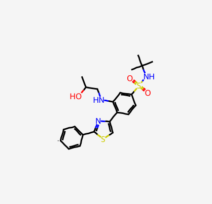 CC(O)CNc1cc(S(=O)(=O)NC(C)(C)C)ccc1-c1csc(-c2cc[c]cc2)n1